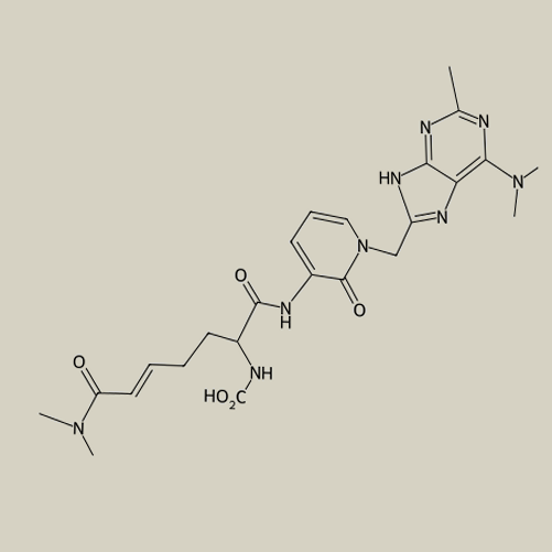 Cc1nc(N(C)C)c2nc(Cn3cccc(NC(=O)C(CCC=CC(=O)N(C)C)NC(=O)O)c3=O)[nH]c2n1